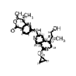 C[C@@H]1OC(=O)c2ccc(Nc3cc4c([C@@H](C)CO)cnc(OC5CC5)c4cn3)nc2[C@H]1C